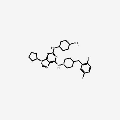 NC1CCC(Nc2nc(NN3CCC(Cc4cc(F)ccc4F)CC3)c3ncn(C4CCCC4)c3n2)CC1